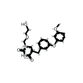 COc1cccc(Oc2cccc(Cc3cn(COCCO)c(=O)[nH]c3=O)c2)c1